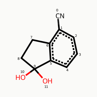 N#Cc1cccc2c1CCC2(O)O